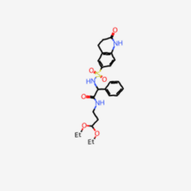 CCOC(CCNC(=O)C(NS(=O)(=O)c1ccc2c(c1)CCC(=O)N2)c1ccccc1)OCC